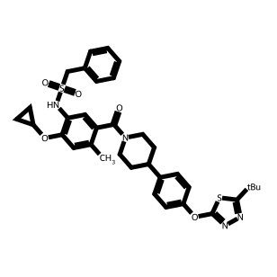 Cc1cc(OC2CC2)c(NS(=O)(=O)Cc2ccccc2)cc1C(=O)N1CCC(c2ccc(Oc3nnc(C(C)(C)C)s3)cc2)CC1